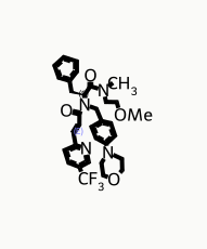 COCCN(C)C(=O)[C@H](Cc1ccccc1)N(Cc1ccc(N2CCOCC2)cc1)C(=O)/C=C/c1ccc(C(F)(F)F)cn1